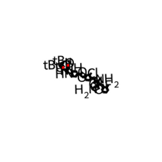 CC(C)(C)OC(=O)/N=C(\NC(=O)OC(C)(C)C)Nc1ccc(C(=O)Oc2ccc(CC(=O)N(N)[C@@H](Cc3ccccc3F)C(=O)ON)c(Cl)c2)cc1